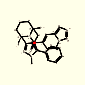 Cn1nc2c(c1-c1ccccc1)C[C@H]1CCC[C@@H]2N1C(=O)c1ccn2nncc2c1